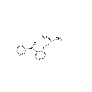 C=C(C)CCc1ccccc1C(=O)c1ccccc1